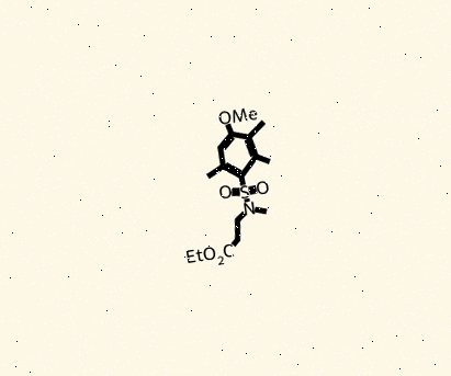 CCOC(=O)CCN(C)S(=O)(=O)c1c(C)cc(OC)c(C)c1C